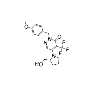 COc1ccc(Cn2ncc(N3CCC[C@H]3CO)c(C(F)(F)F)c2=O)cc1